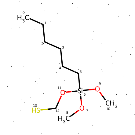 CCCCCC[Si](OC)(OC)OCS